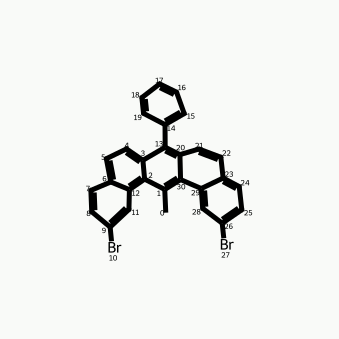 Cc1c2c(ccc3ccc(Br)cc32)c(-c2ccccc2)c2ccc3ccc(Br)cc3c12